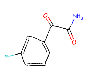 NC(=O)C(=O)c1cccc(F)c1